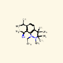 CCN1c2c(ccc(C(C)C)c2C(C)=N)C(C)(C)C(C)(C)N1C